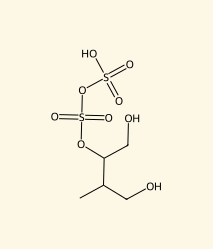 CC(CO)C(CO)OS(=O)(=O)OS(=O)(=O)O